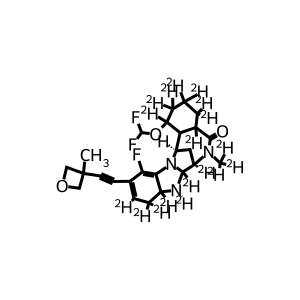 [2H]C1=C(C#CC2(C)COC2)C(F)=C2N3[C@@H]4C[C@@]([2H])(N(C([2H])([2H])[2H])C(=O)C5([2H])C4C([2H])(OC(F)F)C([2H])([2H])C([2H])([2H])C5([2H])[2H])C3([2H])N([2H])C2([2H])C1([2H])[2H]